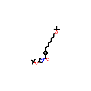 CC(C)(C)OCCCCCCCC12CC(C(=O)N3CC(OC(C)(C)C)C3)(C1)C2